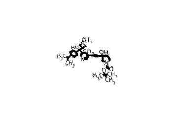 CC(C)c1ccc(C(O)(c2cncc(C#CC3(O)CCN(C(=O)OC(C)(C)C)C3)c2)C2(C)CN(C)C2)cc1